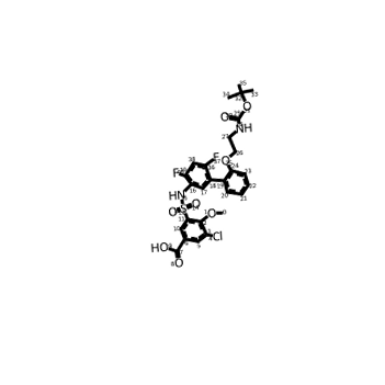 COc1c(Cl)cc(C(=O)O)cc1S(=O)(=O)Nc1cc(-c2ccccc2OCCNC(=O)OC(C)(C)C)c(F)cc1F